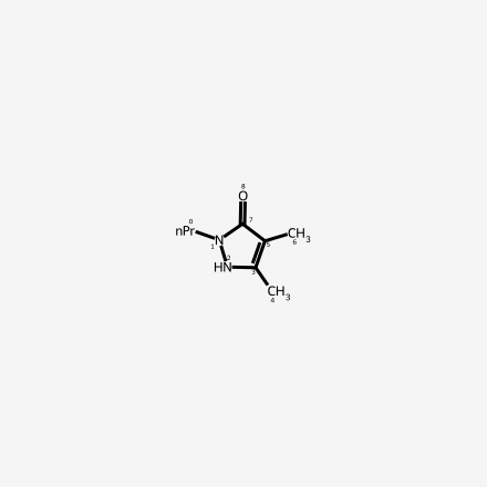 CCCn1[nH]c(C)c(C)c1=O